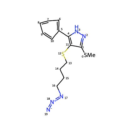 CSc1n[nH]c(-c2ccccc2)c1SCCCCN=[N+]=[N-]